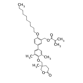 C=C(C)C(=O)OCc1cc(-c2cc(C)c(OCC3(C)CCC(=O)OC3)c(C)c2)ccc1OCCCCCCCCCC